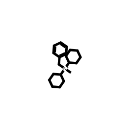 C[N+](Cc1ccccc1)(C1CCCCC1)C1CCCCC1